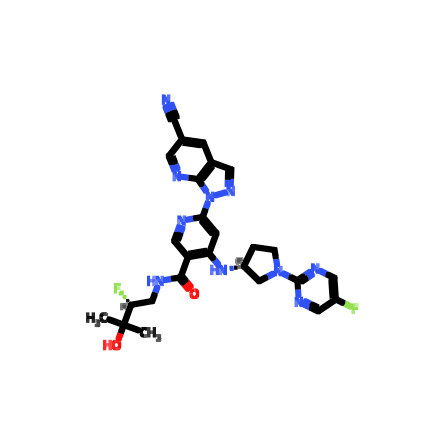 CC(C)(O)[C@H](F)CNC(=O)c1cnc(-n2ncc3cc(C#N)cnc32)cc1N[C@@H]1CCN(c2ncc(F)cn2)C1